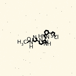 CCC(=O)Nc1cncc(-c2ccc3[nH]nc(-c4nc5c(-c6ccc(Cl)s6)cccc5[nH]4)c3n2)c1